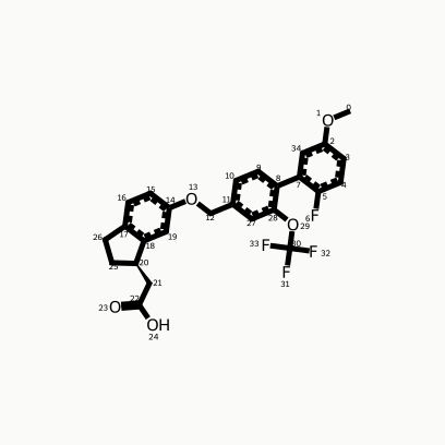 COc1ccc(F)c(-c2ccc(COc3ccc4c(c3)[C@@H](CC(=O)O)CC4)cc2OC(F)(F)F)c1